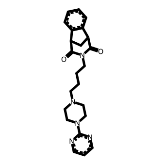 O=C1C2CC(C(=O)N1CCCCN1CCN(c3ncccn3)CC1)c1ccccc12